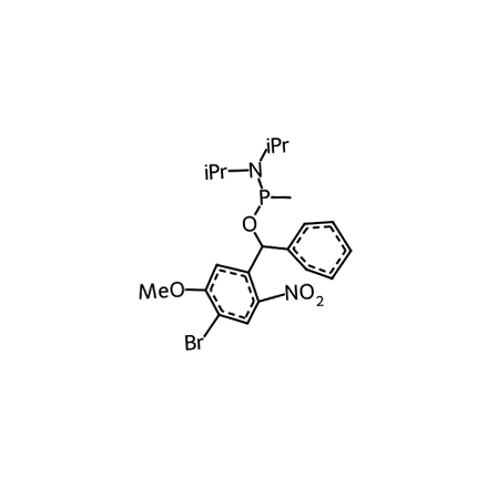 COc1cc(C(OP(C)N(C(C)C)C(C)C)c2ccccc2)c([N+](=O)[O-])cc1Br